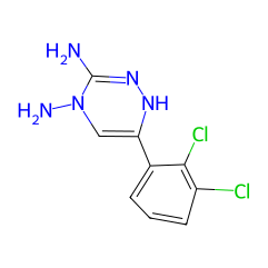 NC1=NNC(c2cccc(Cl)c2Cl)=CN1N